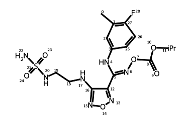 Cc1cc(N/C(=N\OC(=O)OC(C)C)c2nonc2NCCNS(N)(=O)=O)ccc1F